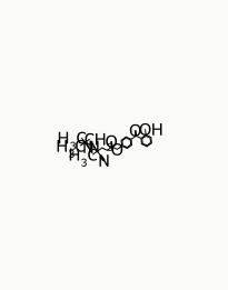 CC(C)(C)N=NC(C)(C#N)CCC(=O)Oc1ccc(C(=O)c2ccccc2O)cc1